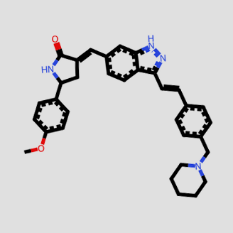 COc1ccc(C2C/C(=C\c3ccc4c(/C=C/c5ccc(CN6CCCCC6)cc5)n[nH]c4c3)C(=O)N2)cc1